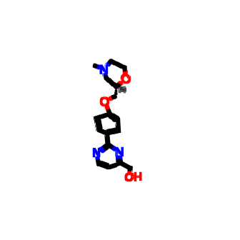 CN1CCO[C@H](COc2ccc(-c3nccc(CO)n3)cc2)C1